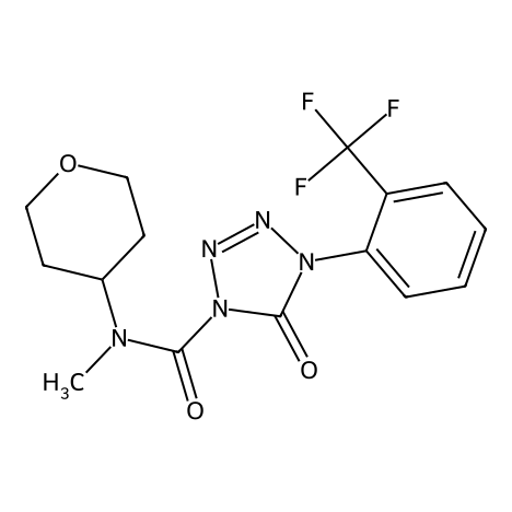 CN(C(=O)n1nnn(-c2ccccc2C(F)(F)F)c1=O)C1CCOCC1